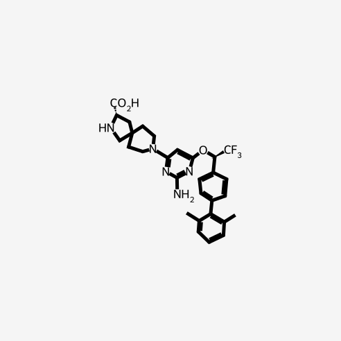 Cc1cccc(C)c1-c1ccc([C@@H](Oc2cc(N3CCC4(CC3)CN[C@H](C(=O)O)C4)nc(N)n2)C(F)(F)F)cc1